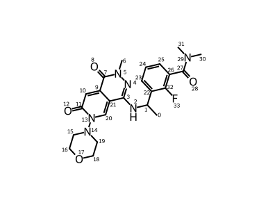 CC(Nc1nn(C)c(=O)c2cc(=O)n(N3CCOCC3)cc12)c1cccc(C(=O)N(C)C)c1F